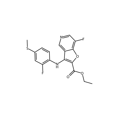 CCOC(=O)c1oc2c(F)cncc2c1Nc1ccc(SC)cc1F